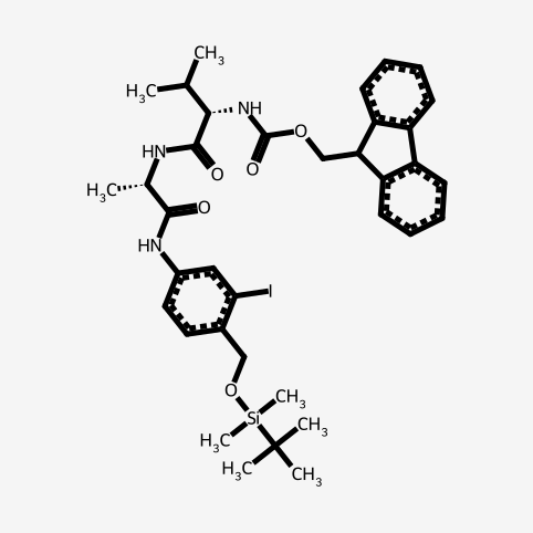 CC(C)[C@H](NC(=O)OCC1c2ccccc2-c2ccccc21)C(=O)N[C@@H](C)C(=O)Nc1ccc(CO[Si](C)(C)C(C)(C)C)c(I)c1